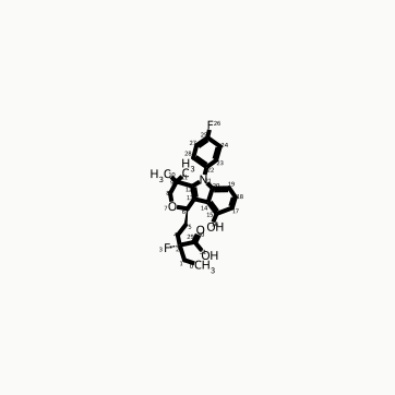 CC[C@@](F)(CC[C@H]1OCC(C)(C)c2c1c1c(O)cccc1n2-c1ccc(F)cc1)C(=O)O